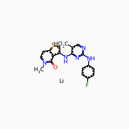 Cn1ccc2scc(Nc3nc(Nc4ccc(F)cc4)ncc3C(=O)O)c2c1=O.[Li]